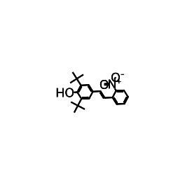 CC(C)(C)c1cc(C=Cc2ccccc2[N+](=O)[O-])cc(C(C)(C)C)c1O